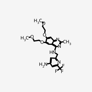 COCCOc1cc2nc(C)nc(NCc3cc(N)cc(C(F)(F)F)n3)c2cc1OCCOC